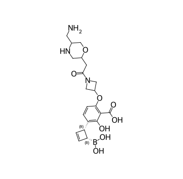 NCC1COC(CC(=O)N2CC(Oc3ccc([C@H]4C=C[C@H]4B(O)O)c(O)c3C(=O)O)C2)CN1